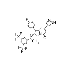 C[C@@H](OC1CN2C(=O)C=C(c3cn[nH]c3)CC2[C@@H]1c1ccc(F)cc1)c1cc(C(F)(F)F)cc(C(F)(F)F)c1